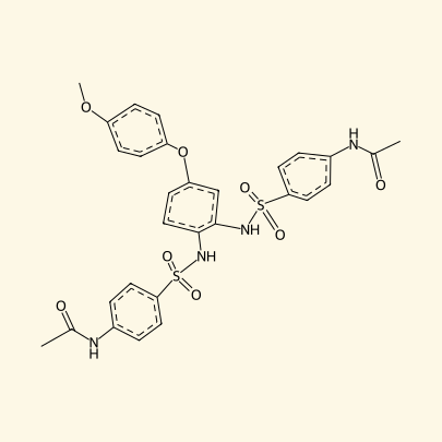 COc1ccc(Oc2ccc(NS(=O)(=O)c3ccc(NC(C)=O)cc3)c(NS(=O)(=O)c3ccc(NC(C)=O)cc3)c2)cc1